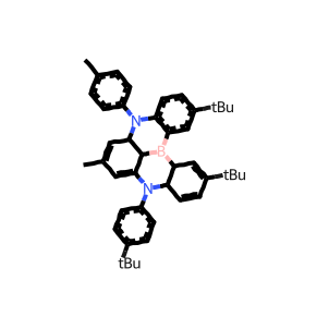 CC1=CC2C3B(c4cc(C(C)(C)C)ccc4N2c2ccc(C)cc2)C2C=C(C(C)(C)C)C=CC2N(c2ccc(C(C)(C)C)cc2)C3=C1